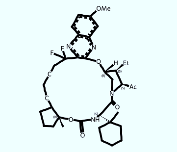 CC[C@@H]1[C@@H]2CN(C(=O)[C@H](C3(C)CCCCC3)NC(=O)O[C@]3(C)CCCC3CCCCC(F)(F)c3nc4ccc(OC)cc4nc3O2)[C@@H]1C(C)=O